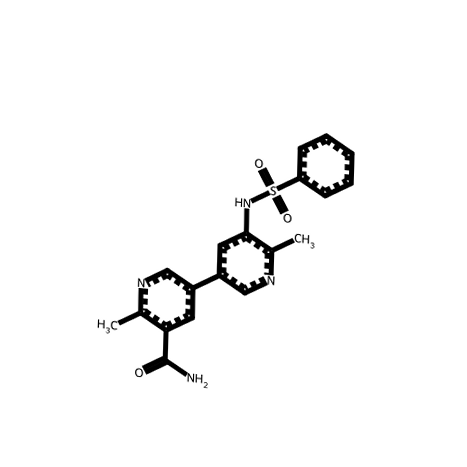 Cc1ncc(-c2cnc(C)c(C(N)=O)c2)cc1NS(=O)(=O)c1ccccc1